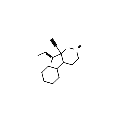 C#CC1(C(C)=CC)O[Si](=O)CCC1C1CCCCC1